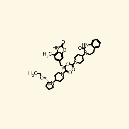 CCOC[C@H]1CCCN1C1CCN(C(=O)[C@@H](Cc2cc(C)c3[nH]c(=O)oc3c2)OC(=O)N2CCC(N3CCc4ccccc4NC3=O)CC2)CC1